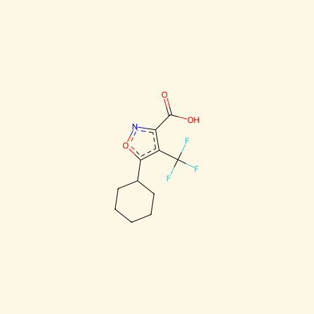 O=C(O)c1noc(C2CCCCC2)c1C(F)(F)F